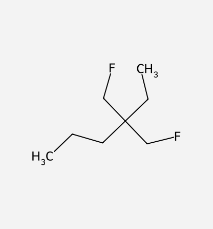 CCCC(CC)(CF)CF